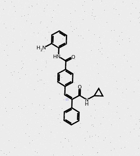 Nc1ccccc1NC(=O)c1ccc(/C=C(\C(=O)NC2CC2)c2ccccc2)cc1